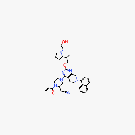 C=CC(=O)N1CCN(c2nc(OCC(C)C3CCCN3CCO)nc3c2CCN(c2cccc4ccccc24)C3)CC1CC#N